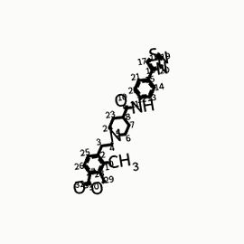 Cc1c(CCN2CCC(C(=O)Nc3ccc(-c4csnn4)cc3)CC2)ccc2c1COC2=O